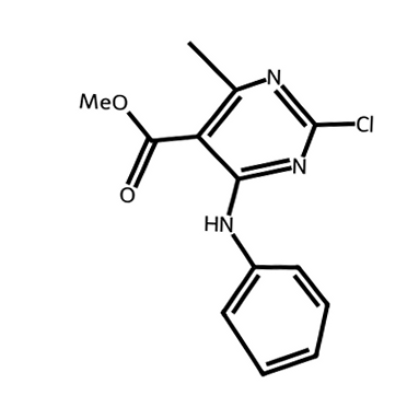 COC(=O)c1c(C)nc(Cl)nc1Nc1ccccc1